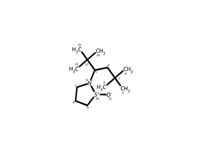 CC(C)(C)CC(N1CCC[S+]1[O-])C(C)(C)C